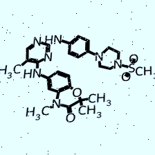 Cc1cnc(Nc2ccc(N3CCN(S(C)(=O)=O)CC3)cc2)nc1Nc1ccc2c(c1)N(C)C(=O)C(C)(C)O2